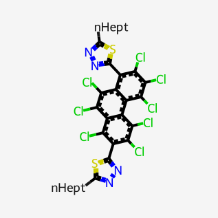 CCCCCCCc1nnc(-c2c(Cl)c(Cl)c3c(c2Cl)c(Cl)c(Cl)c2c(-c4nnc(CCCCCCC)s4)c(Cl)c(Cl)c(Cl)c23)s1